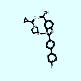 O=C(O)c1ccc2nc(-c3ccc(-c4ccc(F)cc4)cc3)n(C[C@H]3CCN(C(=O)C4CC4)C3)c2c1